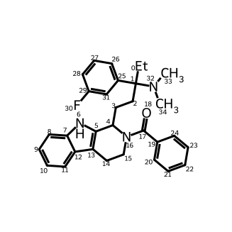 CCC(CCC1c2[nH]c3ccccc3c2CCN1C(=O)c1ccccc1)(c1cccc(F)c1)N(C)C